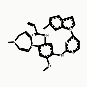 C=CC(=O)Nc1cc(Nc2nccc(-n3ccc4ccc(F)cc43)n2)c(OC)cc1N1C=CCN(C)C=C1